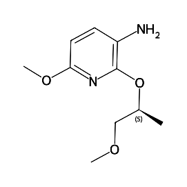 COC[C@H](C)Oc1nc(OC)ccc1N